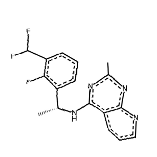 Cc1nc(N[C@H](C)c2cccc(C(F)F)c2F)c2cccnc2n1